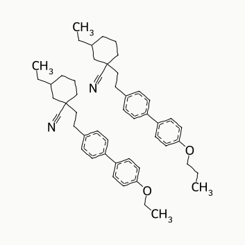 CCCOc1ccc(-c2ccc(CCC3(C#N)CCCC(CC)C3)cc2)cc1.CCOc1ccc(-c2ccc(CCC3(C#N)CCCC(CC)C3)cc2)cc1